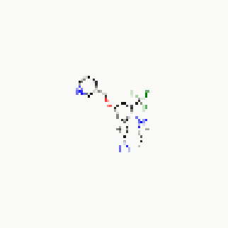 CN1c2c(cc(OCc3cccnc3)cc2C(F)(F)F)[C@@H]2CNCC[C@@H]21